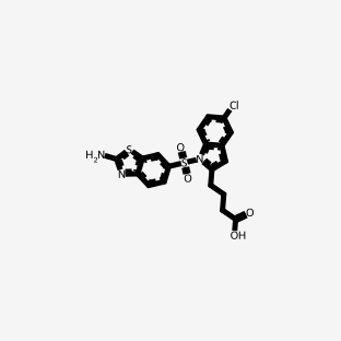 Nc1nc2ccc(S(=O)(=O)n3c(CCCC(=O)O)cc4cc(Cl)ccc43)cc2s1